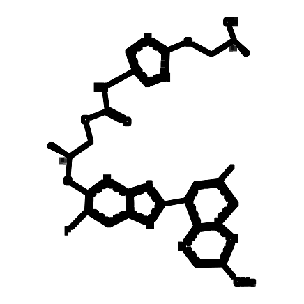 COc1cnc2c(-c3nc4cc(F)c(O[C@@H](C)COC(=O)Nc5cnc(OC[C@H](C)O)nc5)nc4s3)cc(C)cc2n1